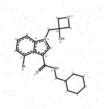 O=C(NCC1CCCCC1)c1cn(CC2(O)COC2)c2cccc(Br)c12